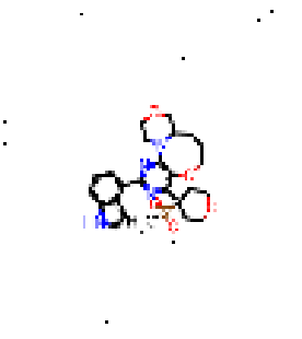 CS(=O)(=O)C1(c2nc(-c3cccc4[nH]ccc34)nc3c2OCCCC2COCCN32)CCOCC1